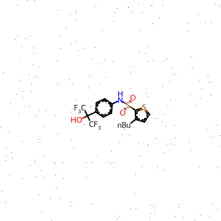 CCCCc1ccsc1S(=O)(=O)Nc1ccc(C(O)(C(F)(F)F)C(F)(F)F)cc1